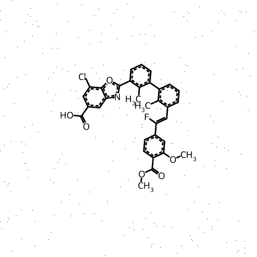 COC(=O)c1ccc(C(F)=Cc2cccc(-c3cccc(-c4nc5cc(C(=O)O)cc(Cl)c5o4)c3C)c2C)cc1OC